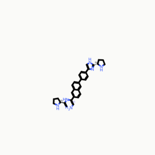 C=C(N/C(=C\N)c1ccc2cc(-c3ccc(-c4c[nH]c([C@@H]5CCCN5)n4)cc3)ccc2c1)[C@@H]1CCCN1